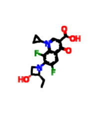 CC[C@H]1[C@H](O)CN1c1c(F)cc2c(=O)c(C(=O)O)cn(C3CC3)c2c1F